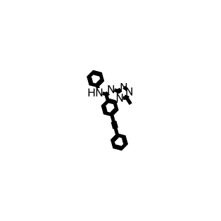 Cc1nnc2nc(Nc3ccccc3)c3ccc(C#Cc4ccccc4)cc3n12